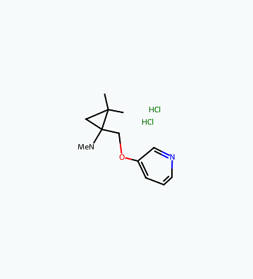 CNC1(COc2cccnc2)CC1(C)C.Cl.Cl